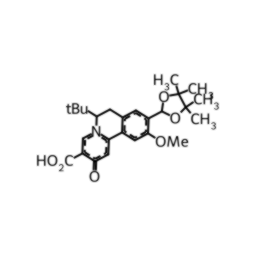 COc1cc2c(cc1C1OC(C)(C)C(C)(C)O1)CC(C(C)(C)C)n1cc(C(=O)O)c(=O)cc1-2